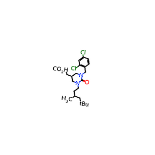 CC(CCN1CC(CC(=O)O)CN(Cc2ccc(Cl)cc2Cl)C1=O)CC(C)(C)C